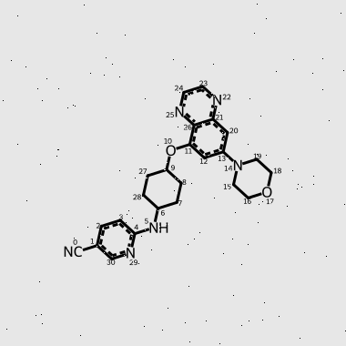 N#Cc1ccc(NC2CCC(Oc3cc(N4CCOCC4)cc4nccnc34)CC2)nc1